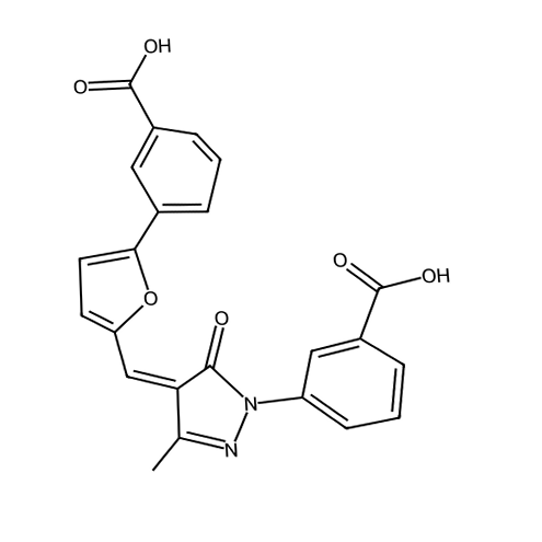 CC1=NN(c2cccc(C(=O)O)c2)C(=O)/C1=C\c1ccc(-c2cccc(C(=O)O)c2)o1